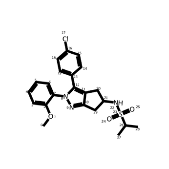 COc1ccccc1-n1nc2c(c1-c1ccc(Cl)cc1)CC(NS(=O)(=O)C(C)C)C2